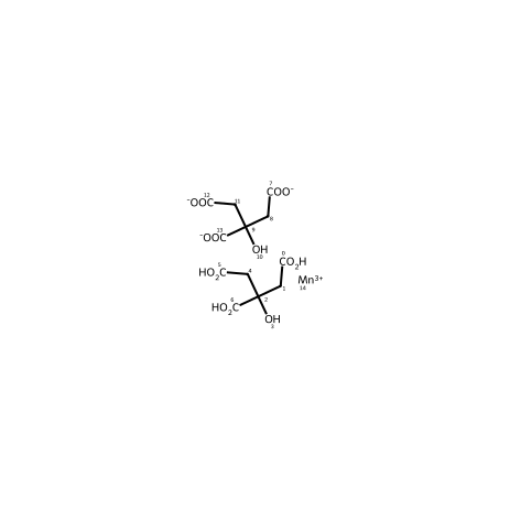 O=C(O)CC(O)(CC(=O)O)C(=O)O.O=C([O-])CC(O)(CC(=O)[O-])C(=O)[O-].[Mn+3]